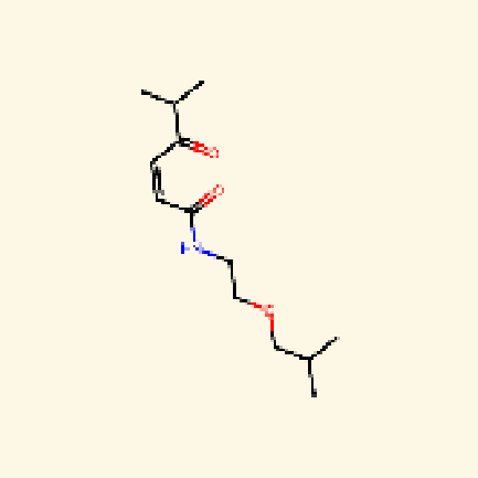 CC(C)COCCNC(=O)/C=C\C(=O)C(C)C